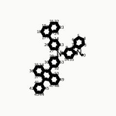 Cn1c2ccccc2c2cc(N(c3ccc(-c4cccc5ccccc45)cc3)c3ccc(-c4c5ccccc5c(-c5ccccc5)c5ccccc45)cc3)ccc21